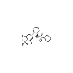 O=S(=O)(Nc1ccccc1-c1cc(F)c(C(F)(F)F)c(F)c1)c1ccccc1